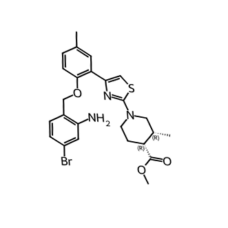 COC(=O)[C@@H]1CCN(c2nc(-c3cc(C)ccc3OCc3ccc(Br)cc3N)cs2)C[C@@H]1C